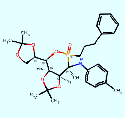 Cc1ccc(N[C@@]2(C)[C@H]3OC(C)(C)O[C@H]3[C@@H]([C@H]3COC(C)(C)O3)O[P@@]2(=O)CCCc2ccccc2)cc1